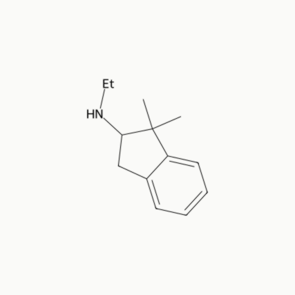 CCNC1Cc2ccccc2C1(C)C